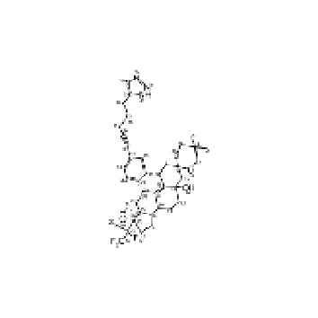 CC1(C)COC2(CCC3=C4C(CCC3(O)C2)C2CC[C@@](O)(C(F)(F)C(F)(F)F)[C@@]2(C)C[C@@H]4c2ccc(C#CCOCc3nnn[nH]3)cc2)OC1